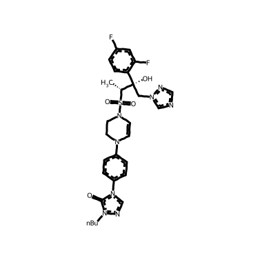 CCCCn1ncn(-c2ccc(N3C=CN(S(=O)(=O)[C@H](C)[C@](O)(Cn4cncn4)c4ccc(F)cc4F)CC3)cc2)c1=O